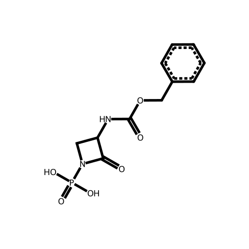 O=C(NC1CN(P(=O)(O)O)C1=O)OCc1ccccc1